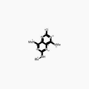 CC[C@H](C)Nc1nc(NC)c2nc(Cl)nc(NC)c2n1